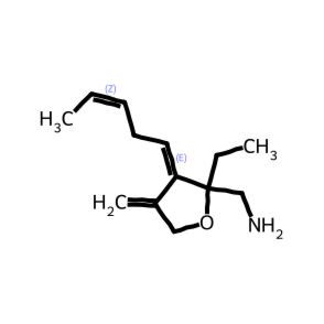 C=C1COC(CC)(CN)/C1=C/C/C=C\C